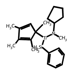 CC1=C[C](C)([Ti]([SiH2]c2ccccc2)[N](C)C2CCCC2)C(C)=C1C